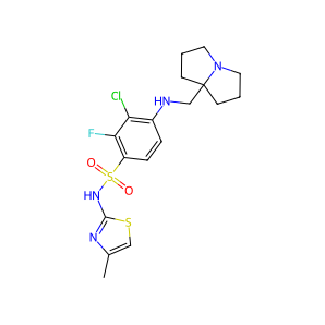 Cc1csc(NS(=O)(=O)c2ccc(NCC34CCCN3CCC4)c(Cl)c2F)n1